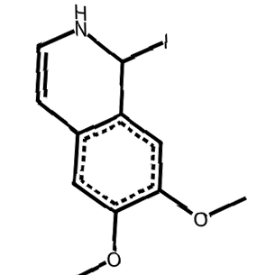 COc1cc2c(cc1OC)C(I)NC=C2